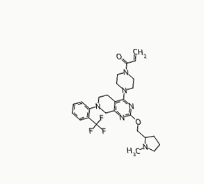 C=CC(=O)N1CCN(c2nc(OCC3CCCN3C)nc3c2CCN(c2ccccc2C(F)(F)F)C3)CC1